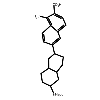 CCCCCCCC1CCC2CC(c3ccc4c(C)c(C(=O)O)ccc4c3)CCC2C1